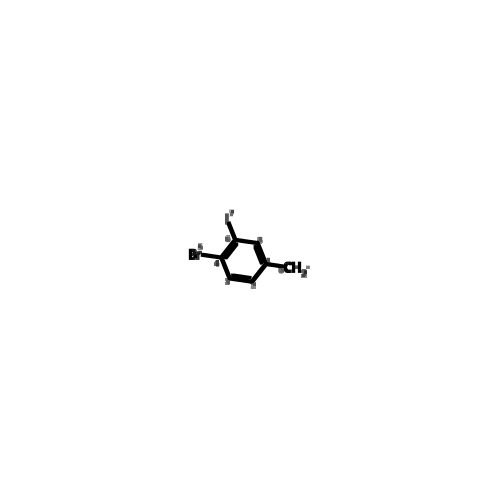 [CH2]c1ccc(Br)c(I)c1